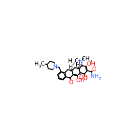 CC1CCN(Cc2cccc3c2C[C@H]2C[C@H]4[C@@H](N(C)C)C(O)=C(C(N)=O)C(=O)[C@@]4(O)C(O)=C2C3=O)CC1